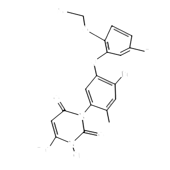 CC(=O)COc1ccc(F)cc1Oc1cc(-n2c(=O)cc(C(F)(F)F)n(C)c2=O)c(F)cc1Br